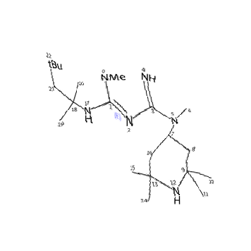 CN/C(=N\C(=N)N(C)C1CC(C)(C)NC(C)(C)C1)NC(C)(C)CC(C)(C)C